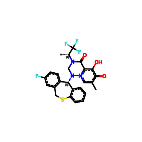 Cc1cn2c(c(O)c1=O)C(=O)N([C@H](C)C(F)(F)F)CN2[C@H]1c2ccc(F)cc2CSc2ccccc21